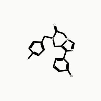 O=C1Cn2cnc(-c3cccc(Br)c3)c2CN1Cc1ccc(F)cc1